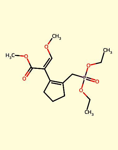 CCOP(=O)(CC1=C(C(=COC)C(=O)OC)CCC1)OCC